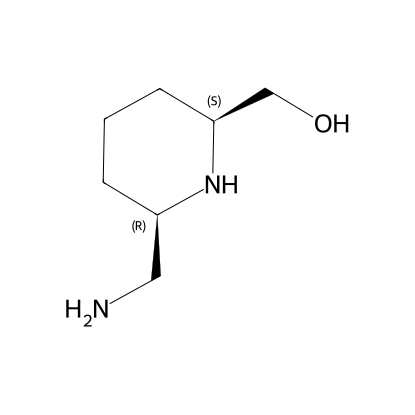 NC[C@H]1CCC[C@@H](CO)N1